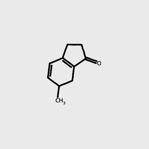 CC1C=CC2=C(C1)C(=O)CC2